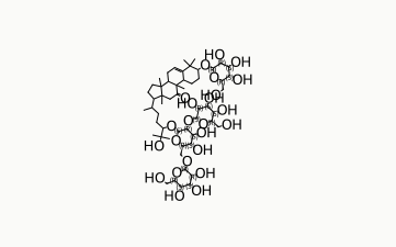 CC(CCC(O[C@@H]1O[C@H](CO[C@@H]2O[C@H](CO)[C@@H](O)[C@H](O)[C@H]2O)[C@@H](O)[C@H](O)[C@H]1O[C@@H]1O[C@H](CO)[C@@H](O)[C@H](O)[C@H]1O)C(C)(C)O)C1CCC2(C)C3CC=C4C(CCC(O[C@@H]5O[C@H](CO)[C@@H](O)[C@H](O)[C@H]5O)C4(C)C)C3(C)C(=O)CC12C